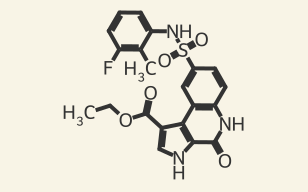 CCOC(=O)c1c[nH]c2c(=O)[nH]c3ccc(S(=O)(=O)Nc4cccc(F)c4C)cc3c12